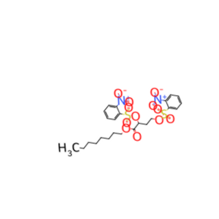 CCCCCCCCOC(=O)C(CCOS(=O)(=O)c1ccccc1[N+](=O)[O-])OS(=O)(=O)c1ccccc1[N+](=O)[O-]